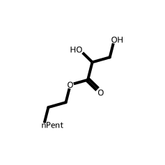 CCCCCCCOC(=O)C(O)CO